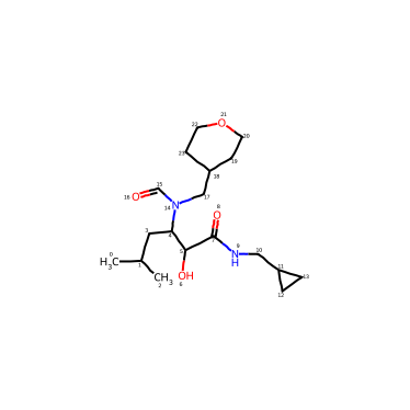 CC(C)CC(C(O)C(=O)NCC1CC1)N(C=O)CC1CCOCC1